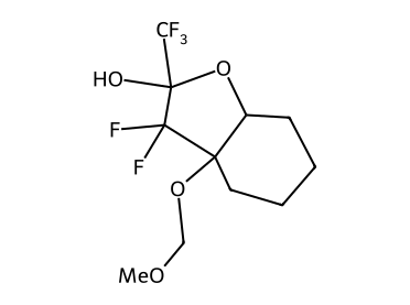 COCOC12CCCCC1OC(O)(C(F)(F)F)C2(F)F